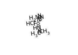 CN(C)CCNCc1cc(F)cc(-c2ccc3ncnc(N)c3n2)c1.Cl